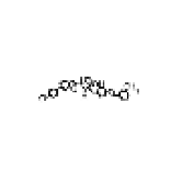 Cc1cccc(COc2ccc(CC(NC(=O)c3cc4ccc(-c5ccc(Cl)cc5)cc4o3)C(=O)O)cc2)c1